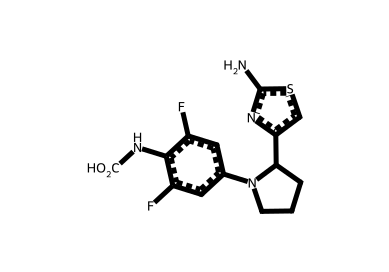 Nc1nc(C2CCCN2c2cc(F)c(NC(=O)O)c(F)c2)cs1